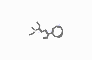 C=CC(=C\C=C(/CC)N(C)CC)/C1=C/C=C\CC#CC1